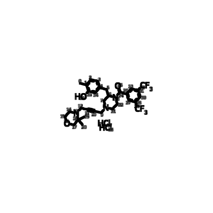 Cc1ccc(CC2CN(CC#CCN3CCOCC3(C)C)CCN2C(=O)c2cc(C(F)(F)F)cc(C(F)(F)F)c2)cc1O.Cl.Cl